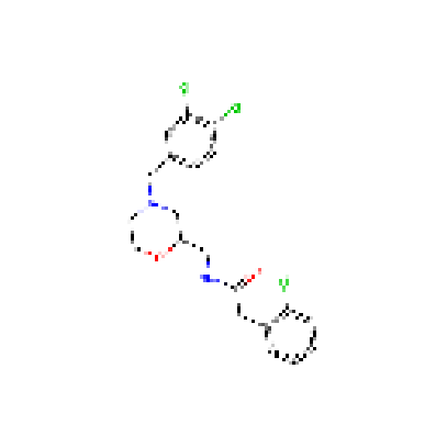 O=C(Cc1ccccc1Cl)NCC1CN(Cc2ccc(Cl)c(Cl)c2)CCO1